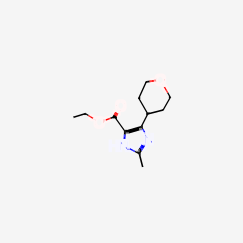 CCOC(=O)c1[nH]c(C)nc1C1CCOCC1